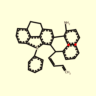 C=C/C=C\C(c1ccccc1)c1c(-c2ccccc2N)cc2c3c4c(cccc4n(-c4ccccc4)c13)CC2